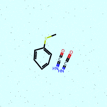 CSc1ccccc1.N=C=O.N=C=O